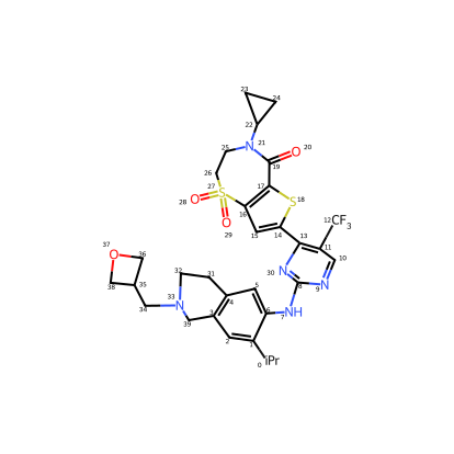 CC(C)c1cc2c(cc1Nc1ncc(C(F)(F)F)c(-c3cc4c(s3)C(=O)N(C3CC3)CCS4(=O)=O)n1)CCN(CC1COC1)C2